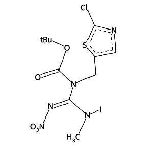 CN(I)C(=N[N+](=O)[O-])N(Cc1cnc(Cl)s1)C(=O)OC(C)(C)C